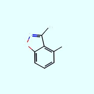 CC(C)c1noc2cccc(C(C)(C)C)c12